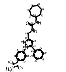 CS(=O)(=O)c1ccc(-n2nc(CNC(=O)NC3CCCCCC3)cc2-c2ccccc2)cc1